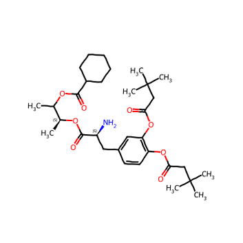 CC(OC(=O)C1CCCCC1)[C@H](C)OC(=O)[C@@H](N)Cc1ccc(OC(=O)CC(C)(C)C)c(OC(=O)CC(C)(C)C)c1